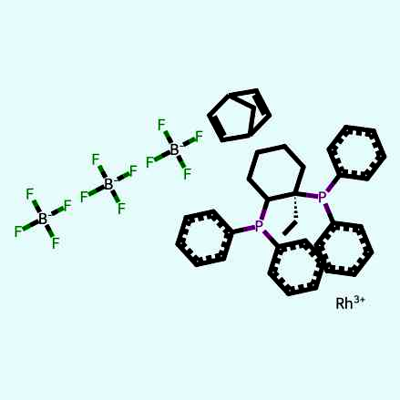 C1=CC2C=CC1C2.CC[C@@]1(P(c2ccccc2)c2ccccc2)CCCCC1P(c1ccccc1)c1ccccc1.F[B-](F)(F)F.F[B-](F)(F)F.F[B-](F)(F)F.[Rh+3]